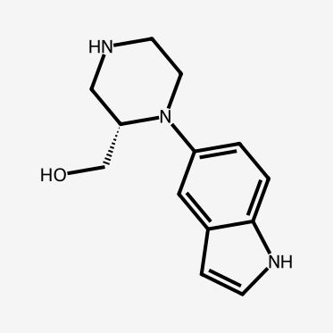 OC[C@@H]1CNCCN1c1ccc2[nH]ccc2c1